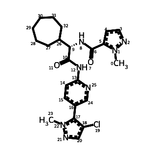 Cn1nccc1C(=O)N[C@H](C(=O)Nc1ccc(-c2c(Cl)cnn2C)cn1)C1CCCCCC1